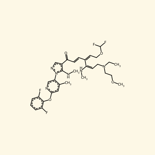 CCN(C\C=C(NC)/C(=C\COC(F)F)/C=C/C(=O)c1cnn(-c2cnc(Oc3c(F)cccc3F)cc2C)c1NC)CCOC